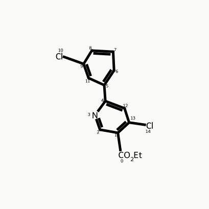 CCOC(=O)c1cnc(-c2cccc(Cl)c2)cc1Cl